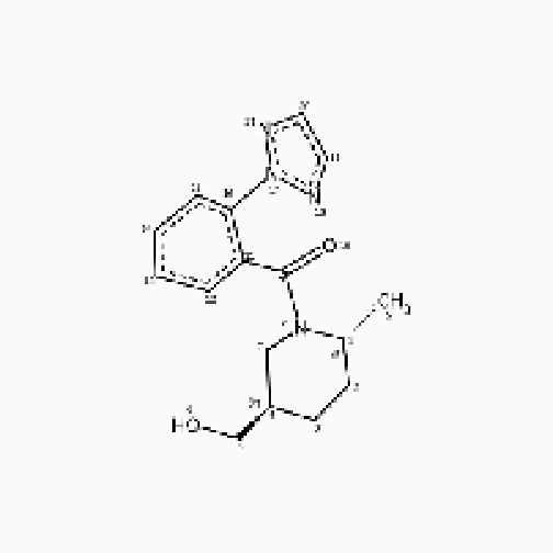 C[C@@H]1CC[C@@H](CO)CN1C(=O)c1ccccc1-n1nccn1